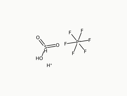 F[P-](F)(F)(F)(F)F.O=[SH](=O)O.[H+]